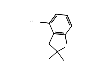 COc1cc[c]c2c1CC(C)(C)O2